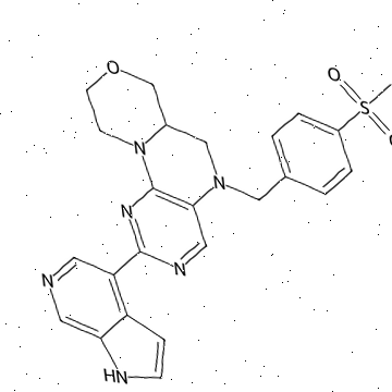 CS(=O)(=O)c1ccc(CN2CC3COCCN3c3nc(-c4cncc5[nH]ccc45)ncc32)cc1